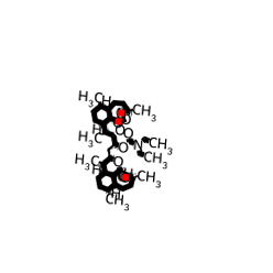 CCN(CC)C(=O)O[C@@H](C[C@H]1O[C@@H]2O[C@]3(C)CC[C@H]4[C@H](C)CC[C@@H]([C@H]1C)[C@@]24OO3)C1O[C@@H]2O[C@]3(C)CC[C@H]4[C@H](C)CC[C@@H]([C@H]1C)[C@@]24OO3